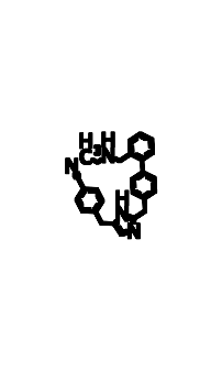 CCNCc1ccccc1-c1ccc(Cc2ncc(Cc3ccc(C#N)cc3)[nH]2)cc1